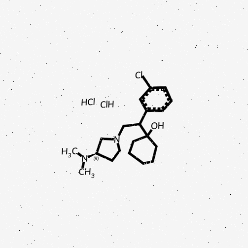 CN(C)[C@@H]1CCN(CC(c2cccc(Cl)c2)C2(O)CCCCC2)C1.Cl.Cl